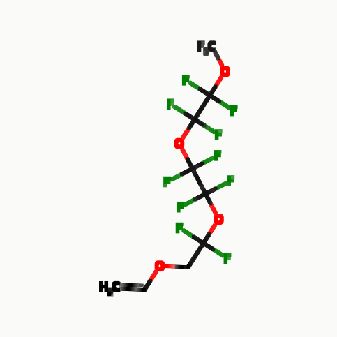 C=COCC(F)(F)OC(F)(F)C(F)(F)OC(F)(F)C(F)(F)OC(F)(F)F